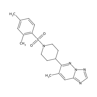 Cc1ccc(S(=O)(=O)N2CCC(c3nn4ncnc4cc3C)CC2)c(C)c1